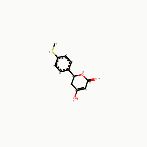 CSc1ccc(C2CC(O)=CC(=O)O2)cc1